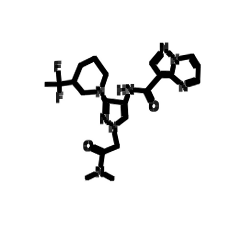 CN(C)C(=O)Cn1cc(NC(=O)c2cnn3cccnc23)c(N2CCCC(C(C)(F)F)C2)n1